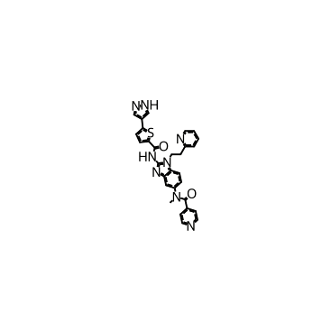 CN(C(=O)c1ccncc1)c1ccc2c(c1)nc(NC(=O)c1ccc(-c3cn[nH]c3)s1)n2CCc1ccccn1